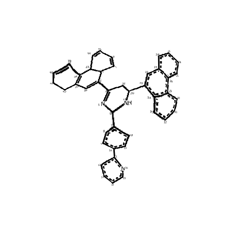 C1=CC2C(C3=NC(c4ccc(-c5ccccn5)cc4)NC(c4cc5ccccc5c5ccccc45)C3)=CC3=C(C=CCC3)C2C=C1